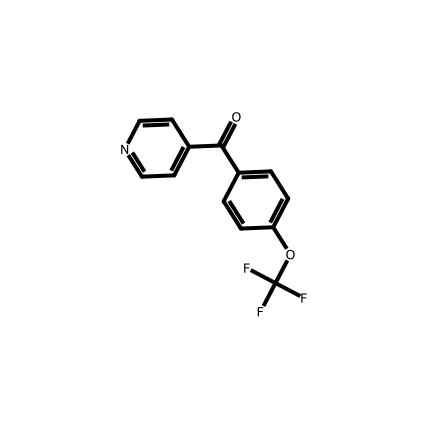 O=C(c1ccncc1)c1ccc(OC(F)(F)F)cc1